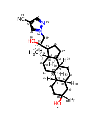 CCC[C@@]1(O)CC[C@H]2[C@H](CC[C@@H]3[C@@H]2CC[C@]2(C)C([C@@](C)(O)Cn4cc(C#N)cn4)CC[C@@H]32)C1